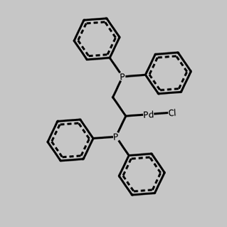 [Cl][Pd][CH](CP(c1ccccc1)c1ccccc1)P(c1ccccc1)c1ccccc1